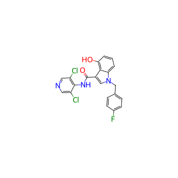 O=C(Nc1c(Cl)cncc1Cl)c1cn(Cc2ccc(F)cc2)c2cccc(O)c12